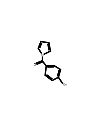 CCC(C)c1ccc(C(=O)n2cccc2)cc1